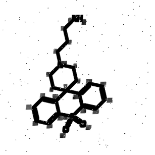 NCCCN1CCC2(CC1)c1ccccc1S(=O)(=O)c1ccccc12